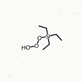 CC[Si](CC)(CC)OOO